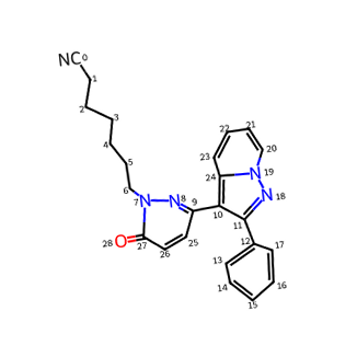 N#CCCCCCCn1nc(-c2c(-c3ccccc3)nn3ccccc23)ccc1=O